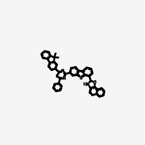 CC1(C)c2ccccc2-c2ccc(-c3nc(-c4ccccc4)nc(-c4ccc5c(c4)sc4c(C6Nc7ccc8ccccc8c7O6)cccc45)n3)cc21